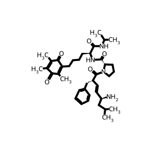 CC1=C(C)C(=O)C(CCCC[C@H](NC(=O)[C@@H]2CCCN2C(=O)[C@H](/C=C/[C@@H](N)CC(C)C)Cc2ccccc2)C(=O)NC(C)C)=C(C)C1=O